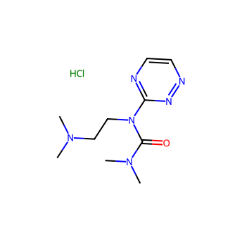 CN(C)CCN(C(=O)N(C)C)c1nccnn1.Cl